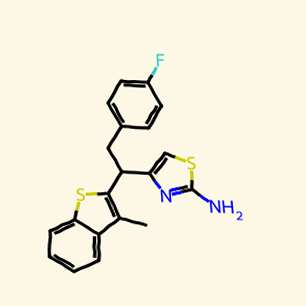 Cc1c(C(Cc2ccc(F)cc2)c2csc(N)n2)sc2ccccc12